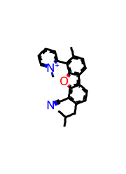 Cc1ccc2c(oc3c(C#N)c(CC(C)C)ccc32)c1-c1cccc[n+]1C